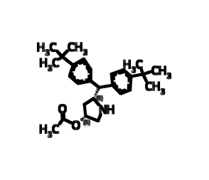 CC(=O)O[C@H]1CN[C@@H](C(c2ccc(C(C)(C)C)cc2)c2ccc(C(C)(C)C)cc2)C1